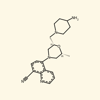 C[C@@H]1CN(c2ccc(C#N)c3ncccc23)C[C@H](CN2CCC(N)CC2)O1